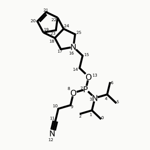 CC(C)N(C(C)C)P(OCCC#N)OCCN1CC2C3C=CC(C3)C2C1